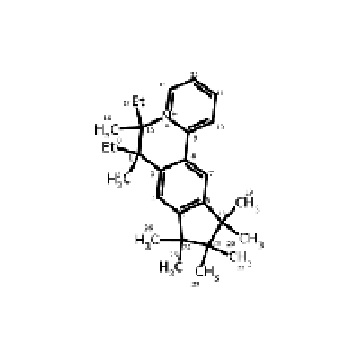 CCC1(C)c2cc3c(cc2-c2cccc[n+]2C1(C)CC)C(C)(C)C(C)(C)C3(C)C